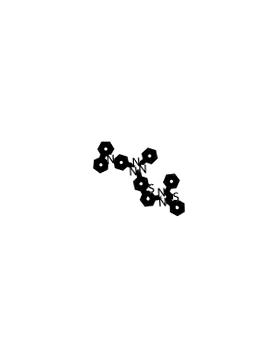 c1ccc(-c2nc(-c3ccc(-n4c5ccccc5c5ccccc54)cc3)nc(-c3ccc4c(c3)sc3c(-c5nc(-c6ccccc6)c6sc7ccccc7c6n5)cccc34)n2)cc1